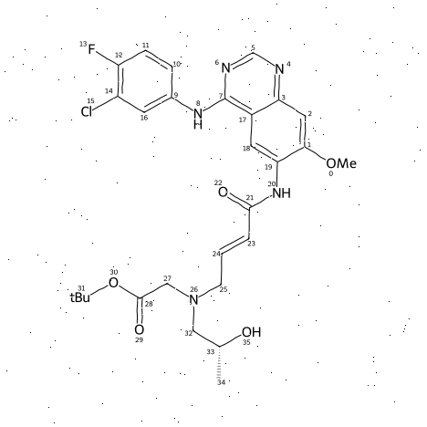 COc1cc2ncnc(Nc3ccc(F)c(Cl)c3)c2cc1NC(=O)C=CCN(CC(=O)OC(C)(C)C)C[C@@H](C)O